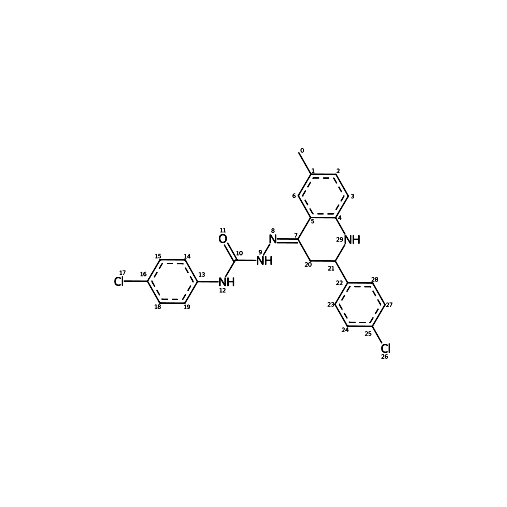 Cc1ccc2c(c1)C(=NNC(=O)Nc1ccc(Cl)cc1)CC(c1ccc(Cl)cc1)N2